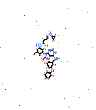 Cc1cc(NC(=O)C=CCN(C)C2CC2)cc(-n2c(=O)n(-c3ccc(Oc4ccccc4)cc3C)c3c(N)ncnc32)c1